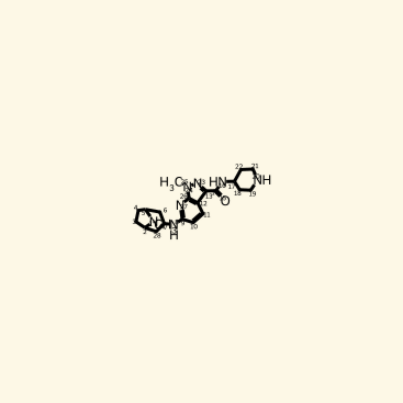 CN1C2CCC1CC(Nc1ccc3c(C(=O)NC4CCNCC4)nn(C)c3n1)C2